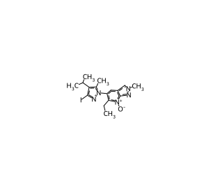 CCc1c(-n2nc(I)c(C(C)C)c2C)cc2cn(C)nc2[n+]1[O-]